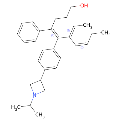 C/C=C(\C=C/CC)C(=C(\CCCO)c1ccccc1)/c1ccc(C2CN(C(C)C)C2)cc1